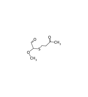 COC(C=O)SCCC(C)=O